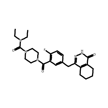 CCN(CC)C(=O)N1CCN(C(=O)c2cc(Cc3n[nH]c(=O)c4c3CCCC4)ccc2F)CC1